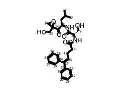 CC(C)CC(NC(=O)[C@H](CO)NC(=O)CCC=C(c1ccccc1)c1ccccc1)C(=O)C1(CO)CO1